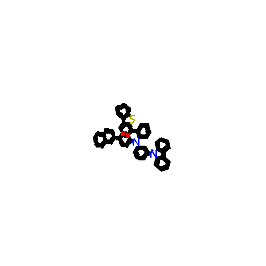 c1cc(N(c2ccc(-c3ccc4ccccc4c3)cc2)c2ccccc2-c2cccc3c2sc2ccccc23)cc(-n2c3ccccc3c3ccccc32)c1